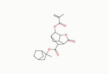 C=C(C)C(=O)OC1C2CC3C1OC(=O)C3C2C(=O)OC1(C)CC2CCC1C2